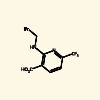 CC(C)CNc1nc(C(F)(F)F)ccc1C(=O)O